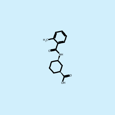 Cc1ccccc1C(=O)N[C@@H]1CCC[C@H](C(=O)O)C1